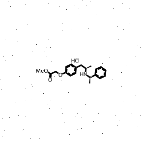 COC(=O)COc1ccc(C[C@@H](C)N[C@H](C)c2ccccc2)cc1.Cl